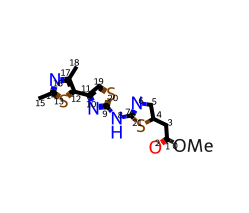 COC(=O)CC1CN=C(Nc2nc(-c3sc(C)nc3C)cs2)S1